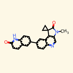 CN1C(=O)C2(CC2)c2c1cnc1ccc(-c3ccc4[nH]c(=O)ccc4c3)cc21